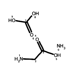 N.NCC(=O)O.O=C(O)O